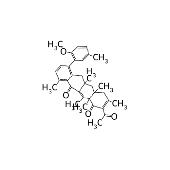 COc1ccc(C)cc1-c1ccc(C)c2c1CC1(C)CC3(C)CC(C)=C(C(C)=O)C(=O)C3(C)C(C)=C1C2=O